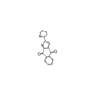 O=C1c2ccccc2C(=O)c2sc(-c3ccccn3)nc21